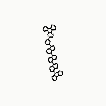 c1cc(-c2cnc3c4ccccc4c4ccccc4c3n2)cc(-c2cccc3c(-c4cccc5c(-c6cccc7c(-n8c9ccccc9c9ccccc98)cccc67)cccc45)cccc23)c1